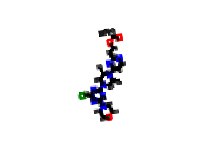 CCCC(=O)OCCc1nccc(N2[C@H](C)CN(c3nc(Cl)nc(N4CCOCC4)n3)C[C@@H]2C)n1